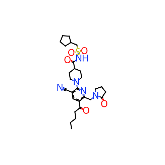 CCCCC(=O)c1cc(C#N)c(N2CCC(C(=O)NS(=O)(=O)CC3CCCC3)CC2)nc1CN1CCCC1=O